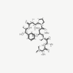 CCC(C)[C@@H](C(CC(=O)N1CCC[C@H]1[C@H](OC)[C@@H](C)C(=O)N[C@H](C)[C@@H](O)c1ccccc1)OC)N(C)C(=O)[C@@H](NC(=O)[C@H](C(C)C)N(C)C)C(C)C